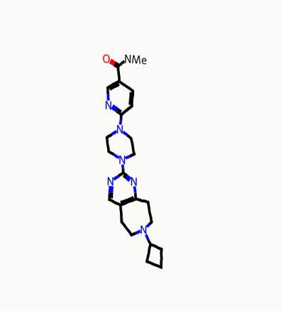 CNC(=O)c1ccc(N2CCN(c3ncc4c(n3)CCN(C3CCC3)CC4)CC2)nc1